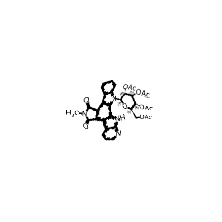 CC(=O)OC[C@H]1O[C@@H](n2c3ccccc3c3c4c(c5c6cccnc6[nH]c5c32)C(=O)N(C)C4=O)[C@H](OC(C)=O)[C@@H](OC(C)=O)[C@@H]1OC(C)=O